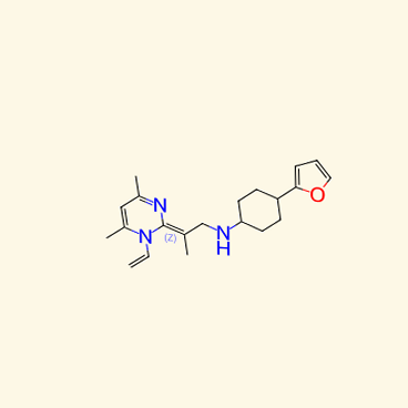 C=CN1C(C)=CC(C)=N/C1=C(/C)CNC1CCC(c2ccco2)CC1